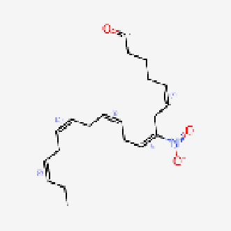 CC/C=C\C/C=C\C/C=C\C/C=C(\C/C=C\CCC[C]=O)[N+](=O)[O-]